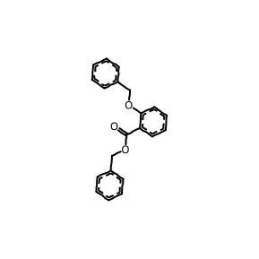 O=C(OCc1ccccc1)c1ccccc1OCc1ccccc1